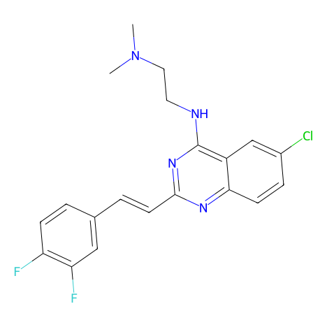 CN(C)CCNc1nc(/C=C/c2ccc(F)c(F)c2)nc2ccc(Cl)cc12